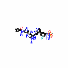 CS(=O)(=O)NCc1cc(F)cc(-c2ccnc3[nH]c(-c4n[nH]c5cnc(-c6cncc(NC(=O)C7CCCC7)c6)cc45)cc23)c1